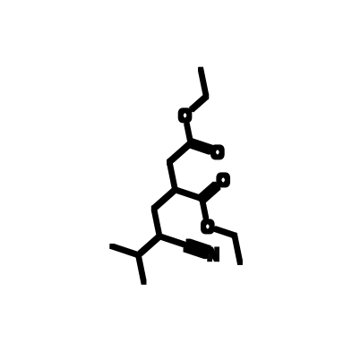 CCOC(=O)CC(CC(C#N)C(C)C)C(=O)OCC